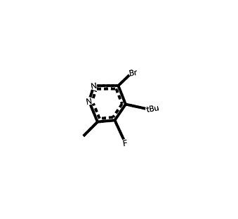 Cc1nnc(Br)c(C(C)(C)C)c1F